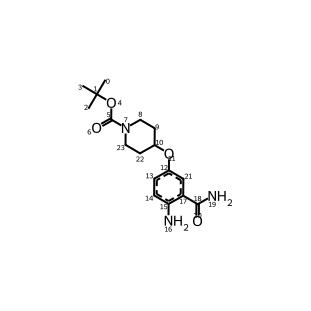 CC(C)(C)OC(=O)N1CCC(Oc2ccc(N)c(C(N)=O)c2)CC1